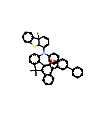 CC1(C)c2cccc(N(C3=CC=C[C@H]4c5ccccc5SC34)c3ccccc3)c2-c2c1c1ccccc1c1c2oc2ccc(-c3ccccc3)cc21